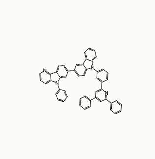 c1ccc(-c2cc(-c3ccccc3)nc(-c3cccc(-n4c5ccccc5c5cc(-c6ccc7c8ncccc8n(-c8ccccc8)c7c6)ccc54)c3)c2)cc1